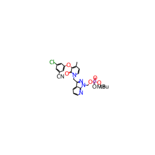 COP(=O)(OCn1nc(Cn2ccc(C)c(Oc3cc(Cl)cc(C#N)c3)c2=O)c2cccnc21)OC(C)(C)C